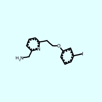 NCc1cccc(CCOc2cccc(I)c2)n1